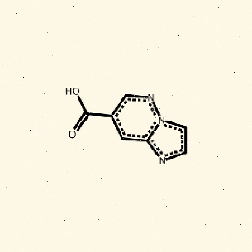 O=C(O)c1cnn2ccnc2c1